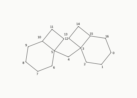 C1CCC2(CC34CCCCC3CC4)CCC2C1